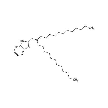 CCCCCCCCCCCCN(CCCCCCCCCCCC)CC1Nc2ccccc2S1